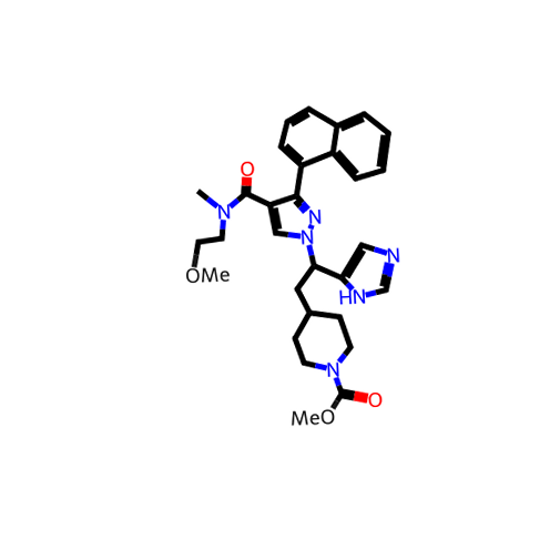 COCCN(C)C(=O)c1cn(C(CC2CCN(C(=O)OC)CC2)c2cnc[nH]2)nc1-c1cccc2ccccc12